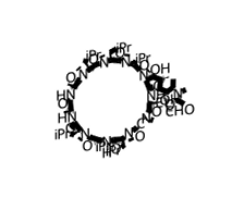 CC[C@@H]1NC(=O)C([C@H](O)[C@H](C)CC(O)C(C)N(C)C(C)OC=O)N(C)C(=O)C(C(C)C)N(C)C(=O)[C@H](CC(C)C)N(C)C(=O)[C@H](CC(C)C)N(C)C(=O)[C@H](C)NC(=O)[C@H](C)NC(=O)[C@H](CC(C)C)N(C)C(=O)[C@H](C(C)C)NC(=O)[C@H](CC(C)C)N(C)C(=O)CN(C)C1=O